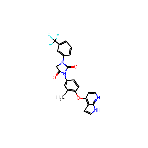 Cc1cc(N2C(=O)CN(c3cccc(C(F)(F)F)c3)C2=O)ccc1Oc1ccnc2[nH]ccc12